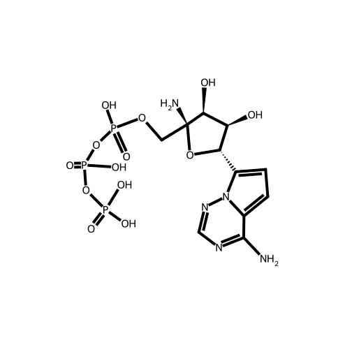 Nc1ncnn2c([C@@H]3O[C@](N)(COP(=O)(O)OP(=O)(O)OP(=O)(O)O)[C@@H](O)[C@H]3O)ccc12